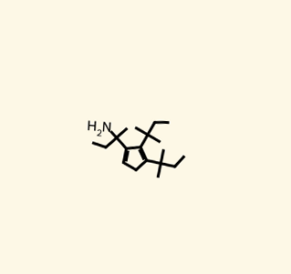 CCC(C)(C)C1=C(C(C)(C)CC)C(C(C)(N)CC)=CC1